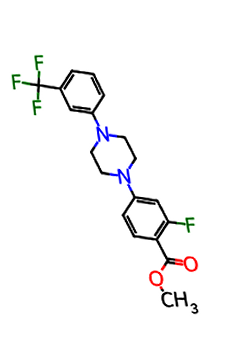 COC(=O)c1ccc(N2CCN(c3cccc(C(F)(F)F)c3)CC2)cc1F